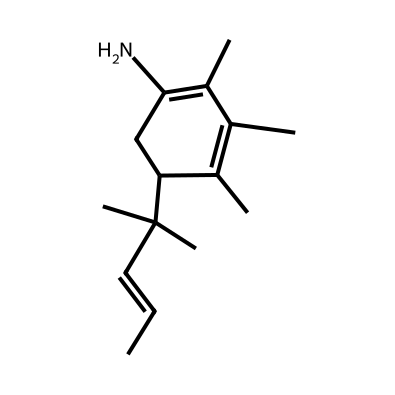 CC=CC(C)(C)C1CC(N)=C(C)C(C)=C1C